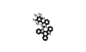 [2H]c1c([2H])c([2H])c(-c2nc(-n3c4ccccc4c4c5ccccc5c5sc6ccccc6c5c43)nc3ccccc23)c([2H])c1[2H]